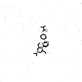 CCC1CN(C(C)C)CC(CC)N1c1ccnc([C@H]2CC[C@@H](CC(=O)C(C)C)CC2)n1